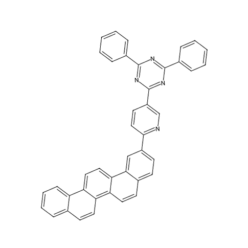 c1ccc(-c2nc(-c3ccccc3)nc(-c3ccc(-c4ccc5ccc6c(ccc7c8ccccc8ccc76)c5c4)nc3)n2)cc1